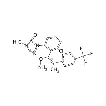 C/C(=C(\ON)c1c(Cl)cccc1-n1nnn(C)c1=O)c1ccc(C(F)(F)F)cc1